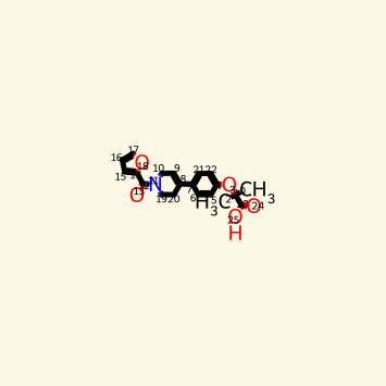 CC(C)(Oc1ccc(C2=CCN(C(=O)c3ccco3)CC2)cc1)C(=O)O